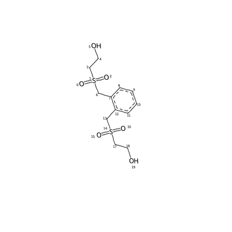 O=S(=O)(CCO)Cc1ccccc1CS(=O)(=O)CCO